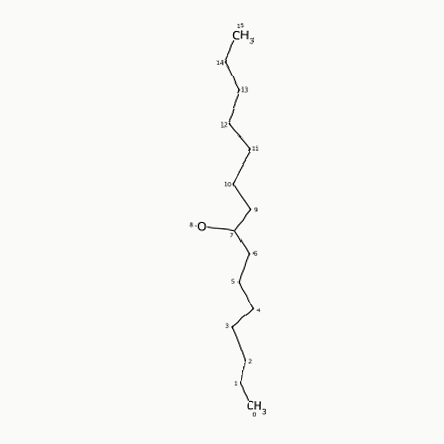 CCCCCCCC([O])CCCCCCC